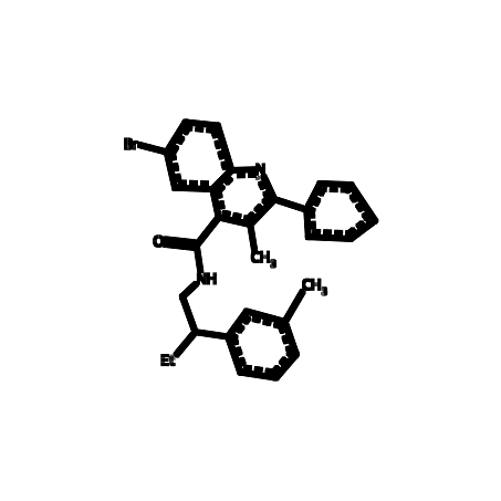 CCC(CNC(=O)c1c(C)c(-c2ccccc2)nc2ccc(Br)cc12)c1cccc(C)c1